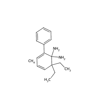 C.CCC1(CC)C=CC=C(c2ccccc2)C1(N)N